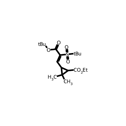 CCOC(=O)C1C(C=C(C(=O)OC(C)(C)C)S(=O)(=O)C(C)(C)C)C1(C)C